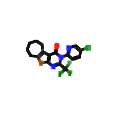 O=c1c2c3c(sc2nc(C(F)(F)F)n1-c1ccc(Cl)cn1)CCCCC3